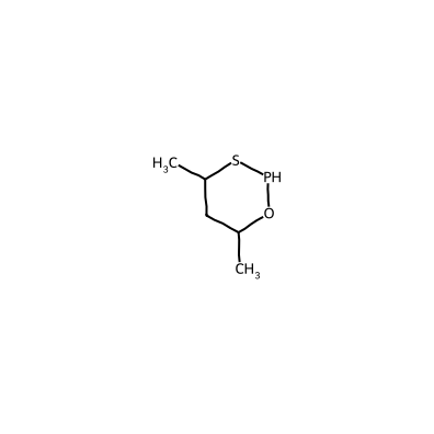 CC1CC(C)SPO1